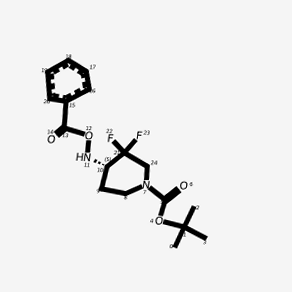 CC(C)(C)OC(=O)N1CC[C@H](NOC(=O)c2ccccc2)C(F)(F)C1